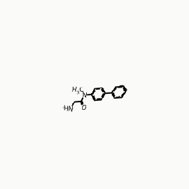 CN(C(=O)C[NH])c1ccc(-c2ccccc2)cc1